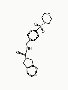 O=C(NCc1ccc(S(=O)(=O)N2CCOCC2)cc1)N1Cc2ccncc2C1